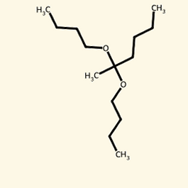 CCCCOC(C)(CCCC)OCCCC